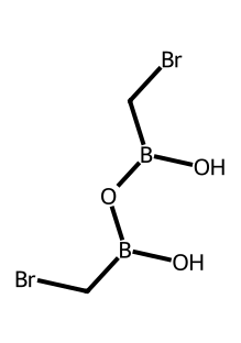 OB(CBr)OB(O)CBr